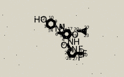 O=C(Nc1cc2cn([C@H]3CC[C@@H](O)CC3)nc2cc1OCC1CC1)c1cccc(C(F)(F)F)n1